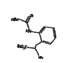 CCCCC(=O)Nc1ccccc1C(CCC)C(=O)OCC